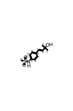 CC(C)(O)/C=C/c1ccc(NS(C)(=O)=O)cc1